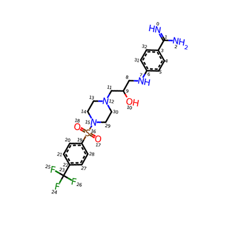 N=C(N)c1ccc(NCC(O)CN2CCN(S(=O)(=O)c3ccc(C(F)(F)F)cc3)CC2)cc1